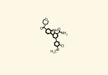 COc1ccc(-c2cc(C(N)=O)c3[nH]c4cc(C(=O)N5CCOCC5)ccc4c3c2)cc1Cl